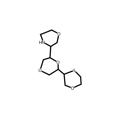 C1COCC(C2COCC(C3COCCS3)O2)N1